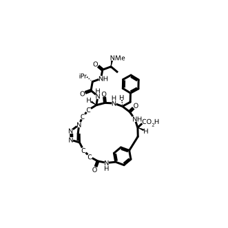 CN[C@@H](C)C(=O)N[C@H](C(=O)N[C@H]1CCn2cc(nn2)CCC(=O)Nc2ccc(cc2)C[C@@H](C(=O)O)NC(=O)[C@H](Cc2ccccc2)NC1=O)C(C)C